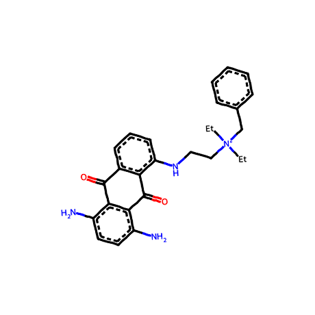 CC[N+](CC)(CCNc1cccc2c1C(=O)c1c(N)ccc(N)c1C2=O)Cc1ccccc1